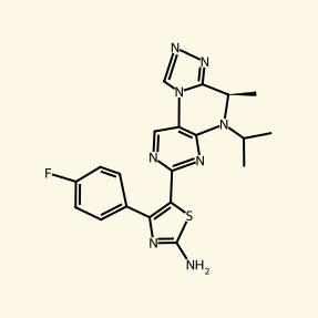 CC(C)N1c2nc(-c3sc(N)nc3-c3ccc(F)cc3)ncc2-n2cnnc2[C@H]1C